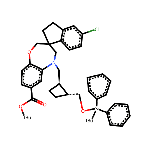 CC(C)(C)OC(=O)c1ccc2c(c1)N(C[C@@H]1CC[C@H]1CO[Si](c1ccccc1)(c1ccccc1)C(C)(C)C)CC1(CCc3cc(Cl)ccc31)CO2